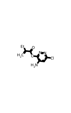 C=C(CC)C(=O)Oc1nnc(Cl)cc1N